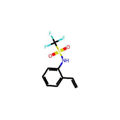 C=Cc1ccccc1NS(=O)(=O)C(F)(F)F